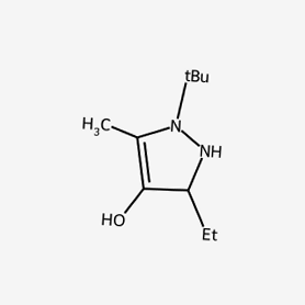 CCC1NN(C(C)(C)C)C(C)=C1O